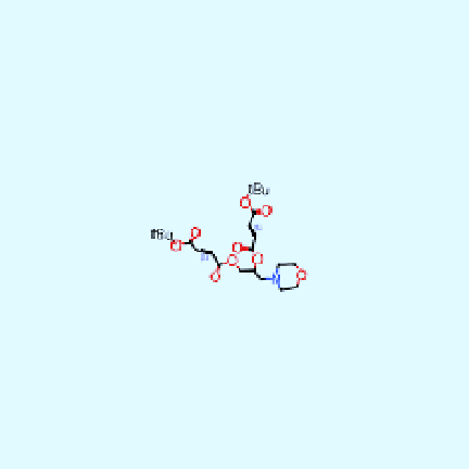 CC(C)(C)OC(=O)/C=C/C(=O)OCC(CN1CCOCC1)OC(=O)/C=C/C(=O)OC(C)(C)C